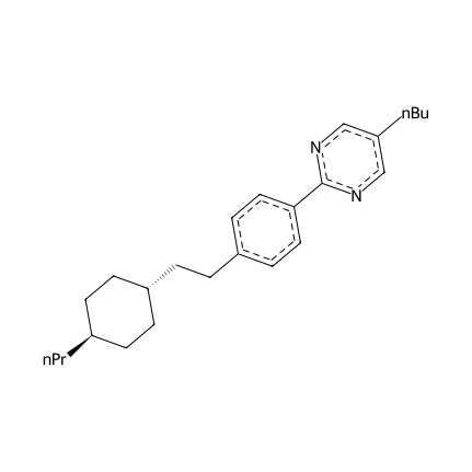 CCCCc1cnc(-c2ccc(CC[C@H]3CC[C@H](CCC)CC3)cc2)nc1